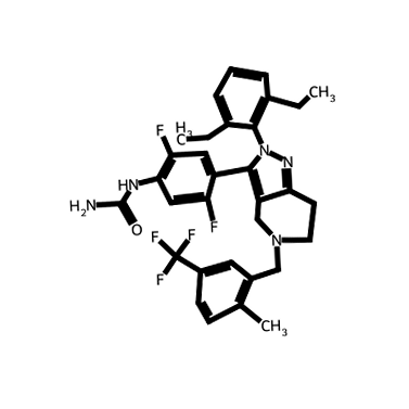 CCc1cccc(CC)c1-n1nc2c(c1-c1cc(F)c(NC(N)=O)cc1F)CN(Cc1cc(C(F)(F)F)ccc1C)CC2